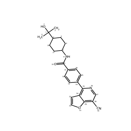 CC(C)(O)C1CCC(NC(=O)c2ccc(-c3ncc(C#N)c4occc34)cc2)CC1